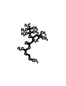 COCOC(C)OC(=O)CC(C[N+](C)(C)C)O[Si](C)(C)C(C)(C)C